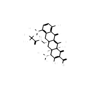 CN(C)c1ccc(O)c2c1C[C@@]1(CNC(=O)C(C)(C)C)C[C@H]3[C@H](N(C)C)C(O)=C(C(N)=O)C(=O)[C@@]3(O)C(O)=C1C2=O